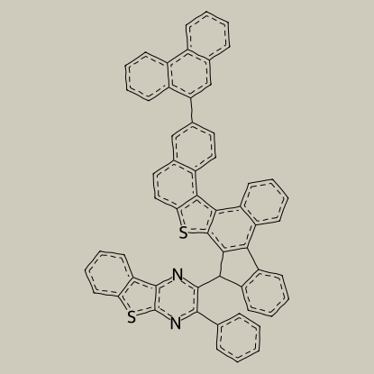 c1ccc(-c2nc3sc4ccccc4c3nc2C2c3ccccc3-c3c2c2sc4ccc5cc(-c6cc7ccccc7c7ccccc67)ccc5c4c2c2ccccc32)cc1